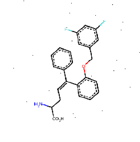 NC(C/C=C(/c1ccccc1)c1ccccc1OCc1cc(F)cc(F)c1)C(=O)O